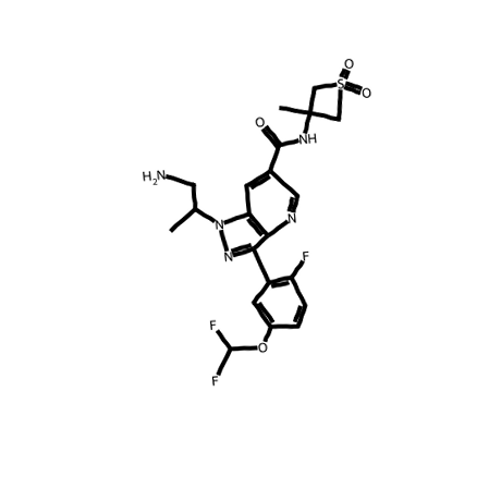 CC(CN)n1nc(-c2cc(OC(F)F)ccc2F)c2ncc(C(=O)NC3(C)CS(=O)(=O)C3)cc21